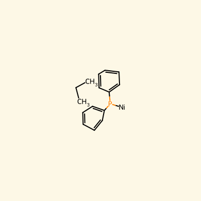 CCC.[Ni][P](c1ccccc1)c1ccccc1